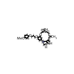 COc1ccc(OCCCOc2ccc3cc2OCC(=O)N(C)CCCN(C)Cc2c[nH]c4c2/C(=N\3)N=CN4)cc1